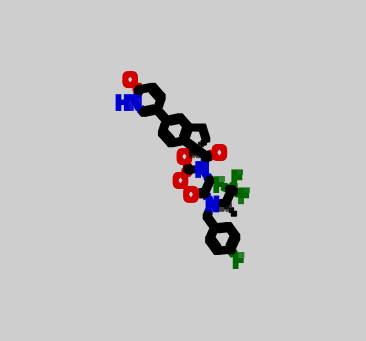 C[C@H](N(Cc1ccc(F)cc1)C(=O)CN1C(=O)O[C@]2(CCc3cc(-c4ccc(=O)[nH]c4)ccc32)C1=O)C(F)(F)F